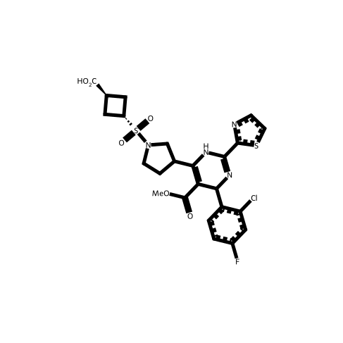 COC(=O)C1=C(C2CCN(S(=O)(=O)[C@H]3C[C@H](C(=O)O)C3)C2)NC(c2nccs2)=NC1c1ccc(F)cc1Cl